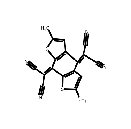 Cc1cc2c(=C(C#N)C#N)c3cc(C)sc3c(=C(C#N)C#N)c2s1